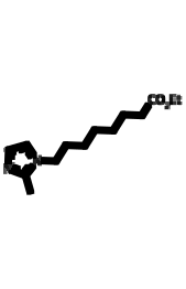 CCOC(=O)CCCCCCCn1c[c]nc1C